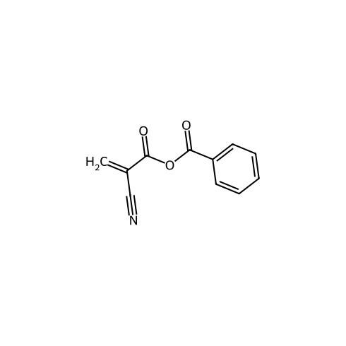 C=C(C#N)C(=O)OC(=O)c1ccccc1